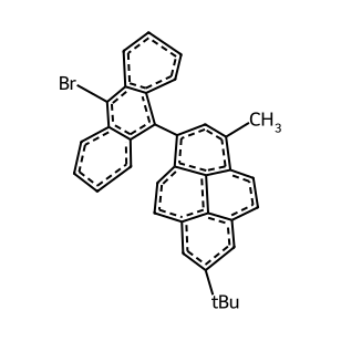 Cc1cc(-c2c3ccccc3c(Br)c3ccccc23)c2ccc3cc(C(C)(C)C)cc4ccc1c2c43